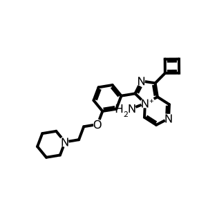 N[N+]12C=CN=CC1=C(C1=CC=C1)N=C2c1cccc(OCCN2CCCCC2)c1